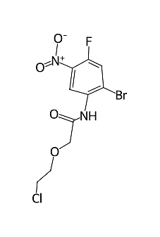 O=C(COCCCl)Nc1cc([N+](=O)[O-])c(F)cc1Br